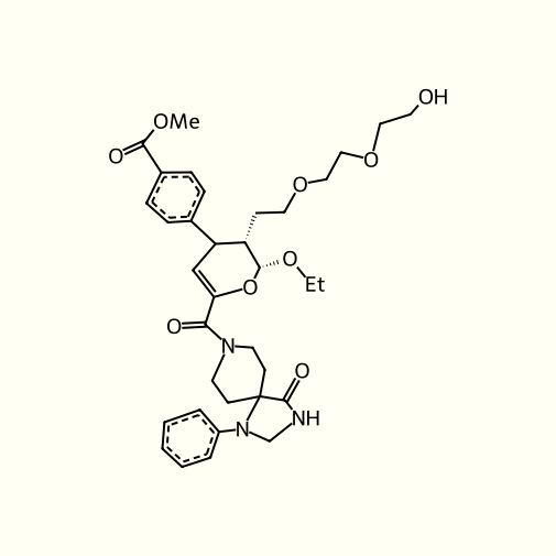 CCO[C@@H]1OC(C(=O)N2CCC3(CC2)C(=O)NCN3c2ccccc2)=CC(c2ccc(C(=O)OC)cc2)[C@@H]1CCOCCOCCO